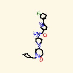 O=C(NC1CCN(C2CCC(=O)N(CC3CCC3)CC2)CC1)c1ccc(-c2cccc(F)c2)nc1